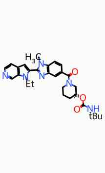 CCn1c(-c2nc3cc(C(=O)N4CCC[C@@H](OC(=O)NC(C)(C)C)C4)ccc3n2C)cc2ccncc21